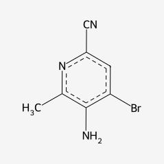 Cc1nc(C#N)cc(Br)c1N